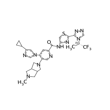 C[C@H](n1cnnc1-c1nc(NC(=O)c2cc(-n3cnc(C4CC4)c3)c(N3CC4CN(C)CC4C3)cn2)cs1)C(F)(F)F